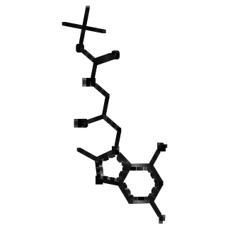 Cc1nc2cc(F)cc(Br)c2n1CC(O)CNC(=O)OC(C)(C)C